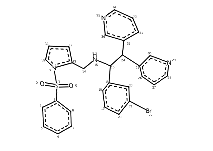 O=S(=O)(c1ccccc1)n1cccc1CNC(c1cccc(Br)c1)C(c1cccnc1)c1cccnc1